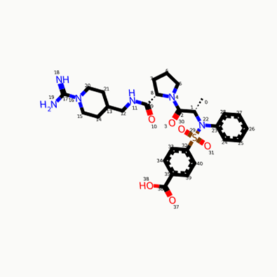 C[C@@H](C(=O)N1CCC[C@H]1C(=O)NCC1CCN(C(=N)N)CC1)N(c1ccccc1)S(=O)(=O)c1ccc(C(=O)O)cc1